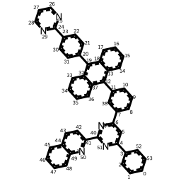 c1ccc(-c2cc(-c3cccc(-c4c5ccccc5c(-c5ccc(-c6ncccn6)cc5)c5ccccc45)c3)nc(-c3ccc4ccccc4n3)n2)cc1